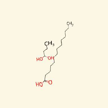 CCCC(O)O.CCCCCCCCCCCCCC(=O)O